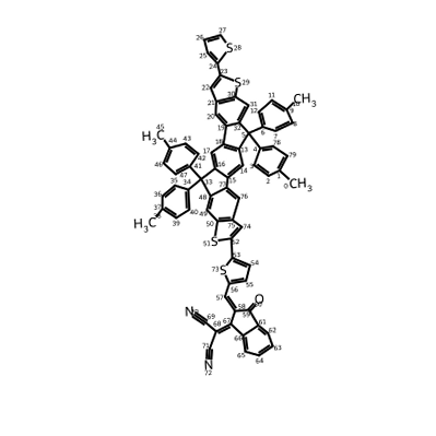 Cc1ccc(C2(c3ccc(C)cc3)c3cc4c(cc3-c3cc5cc(-c6cccs6)sc5cc32)C(c2ccc(C)cc2)(c2ccc(C)cc2)c2cc3sc(-c5ccc(/C=C6\C(=O)c7ccccc7C6=C(C#N)C#N)s5)cc3cc2-4)cc1